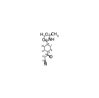 CC(C)NC(=O)C1CCC(C(=O)CC#N)CC1